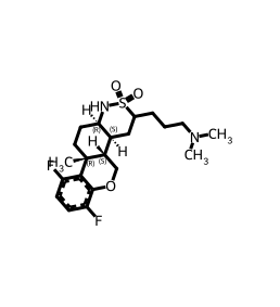 CN(C)CCCC1C[C@@H]2[C@@H](CC[C@@]3(C)c4c(F)ccc(F)c4OC[C@@H]23)NS1(=O)=O